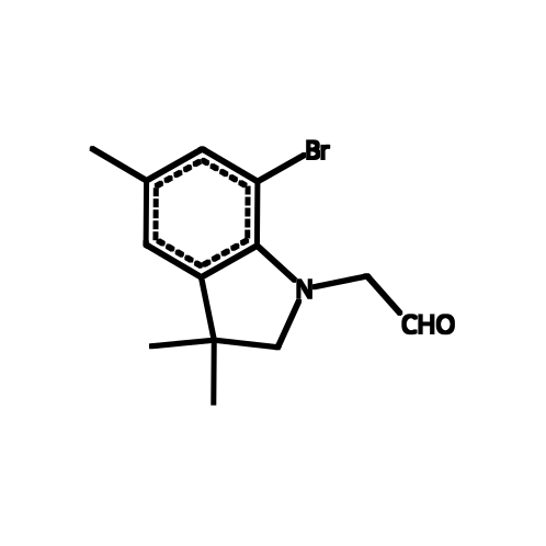 Cc1cc(Br)c2c(c1)C(C)(C)CN2CC=O